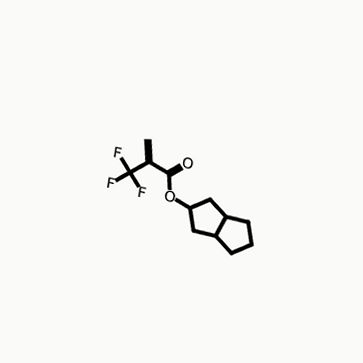 C=C(C(=O)OC1CC2CCCC2C1)C(F)(F)F